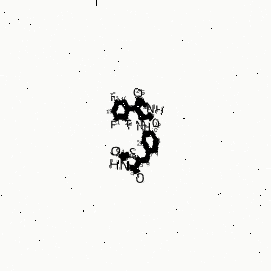 O=C1NC(=O)C(Cc2cccc(NC3=C(c4cc(F)cc(F)c4F)C(=O)NC3=O)c2)S1